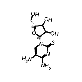 Nc1cn([C@@H]2O[C@H](CO)C(O)C2O)c(=S)nc1N